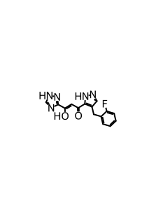 O=C(C=C(O)c1nc[nH]n1)c1[nH]ncc1Cc1ccccc1F